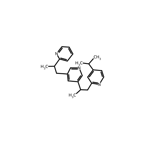 CC(C)c1ccnc(CC(C)c2cncc(CC(C)c3ccccn3)c2)c1